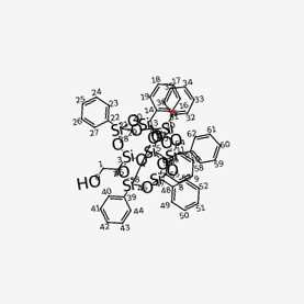 OCC[Si]12O[Si]3(c4ccccc4)O[Si]4(c5ccccc5)O[Si](c5ccccc5)(O1)O[Si]1(c5ccccc5)O[Si](c5ccccc5)(O2)O[Si](c2ccccc2)(O3)O[Si](c2ccccc2)(O4)O1